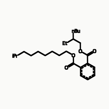 CCCCC(CC)COC(=O)c1ccccc1C(=O)OCCCCCCCC(C)C